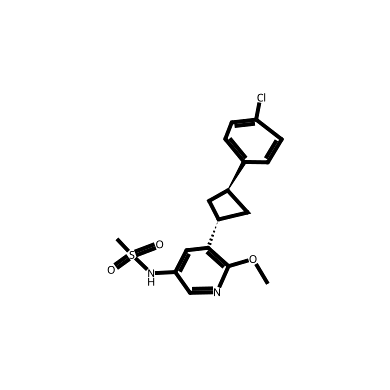 COc1ncc(NS(C)(=O)=O)cc1[C@H]1C[C@H](c2ccc(Cl)cc2)C1